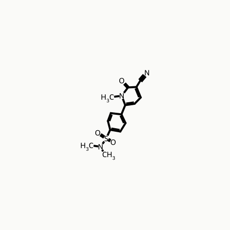 CN(C)S(=O)(=O)c1ccc(-c2ccc(C#N)c(=O)n2C)cc1